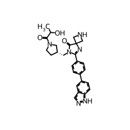 CC(O)C(=O)N1CC[C@@H](CN2C(=O)C3(CNC3)N=C2c2ccc(-c3ccc4[nH]ncc4c3)cc2)C1